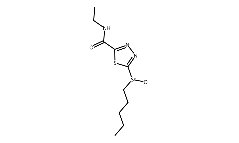 CCCCC[S+]([O-])c1nnc(C(=O)NCC)s1